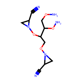 N#CC1CN1OCC(ON1CC1C#N)C(CON)ON